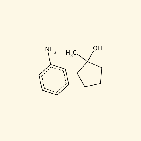 CC1(O)CCCC1.Nc1ccccc1